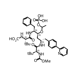 COC(=O)N[C@H](C(=O)N[C@@H](Cc1ccc(-c2ccccn2)cc1)C[C@H](OC(C)OP(=O)(O)O)[C@H](Cc1ccccc1)NC(=O)[C@@H](NC(=O)O)C(C)(C)C)C(C)(C)C